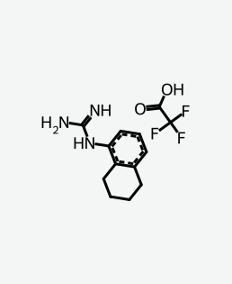 N=C(N)Nc1cccc2c1CCCC2.O=C(O)C(F)(F)F